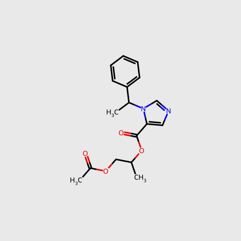 CC(=O)OCC(C)OC(=O)c1cncn1C(C)c1ccccc1